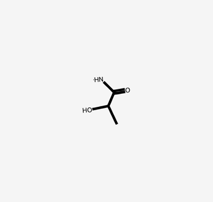 CC(O)C([NH])=O